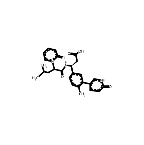 Cc1ccc([C@H](CC(=O)O)NC(=O)C(CC(C)C)n2ccccc2=O)cc1-c1ccc(=O)[nH]c1